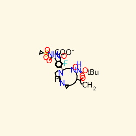 C=CC(=O)C1CCC2=C(C2)/N=C\[C@@H]2CCCN2[C@@H](c2ccc3c(c2F)C(=O)N(C(=O)[O-])[C@H]3C(=O)NS(=O)(=O)C2CC2)CC[N+](=O)[C@H](NC(=O)OC(C)(C)C)C1